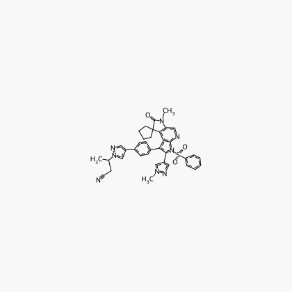 CC(CC#N)n1cc(-c2ccc(-c3c(-c4cnn(C)c4)n(S(=O)(=O)c4ccccc4)c4ncc5c(c34)C3(CCCC3)C(=O)N5C)cc2)cn1